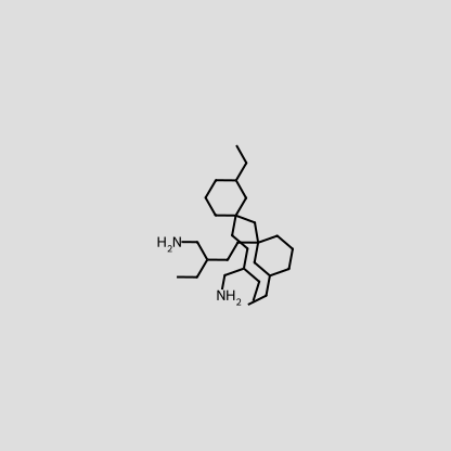 CCC(CN)CCC1(CC2(CCC(CC)CN)CCCC(CC)C2)CCCC(CC)C1